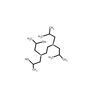 CC(C)CN(CCN(CC(C)O)CC(C)O)CC(C)C